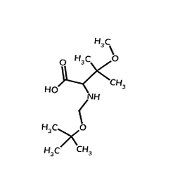 COC(C)(C)C(NCOC(C)(C)C)C(=O)O